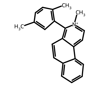 Cc1ccc(C)c(-c2c3ccc4ccccc4c3cc[n+]2C)c1